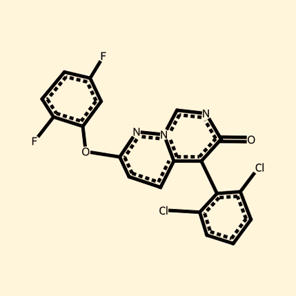 O=c1ncn2nc(Oc3cc(F)ccc3F)ccc2c1-c1c(Cl)cccc1Cl